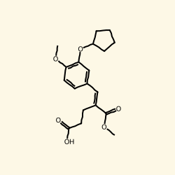 COC(=O)/C(=C/c1ccc(OC)c(OC2CCCC2)c1)CCC(=O)O